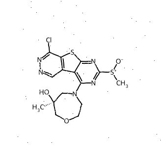 C[S+]([O-])c1nc(N2CCOC[C@@](C)(O)C2)c2c(n1)sc1c(Cl)nncc12